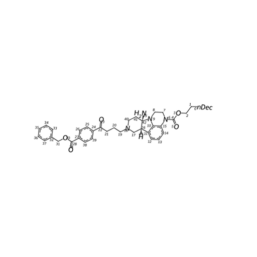 CCCCCCCCCCCCOC(=O)N1CCN2c3c(cccc31)[C@@H]1CN(CCCC(=O)c3ccc(C(=O)OCc4ccccc4)cc3)CC[C@@]12N